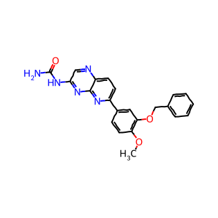 COc1ccc(-c2ccc3ncc(NC(N)=O)nc3n2)cc1OCc1ccccc1